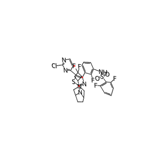 O=S(=O)(Nc1cccc(-c2nc(N3C4CCC3CN(C3CC(F)(F)C3)C4)sc2-c2ccnc(Cl)n2)c1F)c1c(F)cccc1F